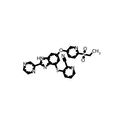 CCS(=O)(=O)c1ccc(Oc2cc(Sc3cccnc3C#N)c3nc(-c4cnccn4)[nH]c3c2)cn1